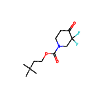 C[Si](C)(C)CCOC(=O)N1CCC(=O)C(F)(F)C1